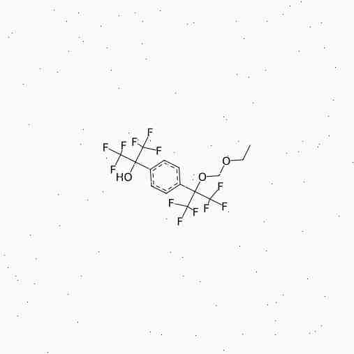 CCOCOC(c1ccc(C(O)(C(F)(F)F)C(F)(F)F)cc1)(C(F)(F)F)C(F)(F)F